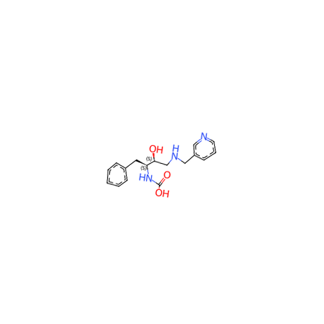 O=C(O)N[C@@H](Cc1ccccc1)[C@@H](O)CNCc1cccnc1